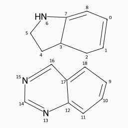 C1=CCC2CCNC2=C1.c1ccc2ncncc2c1